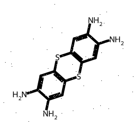 Nc1cc2c(cc1N)Sc1cc(N)c(N)cc1S2